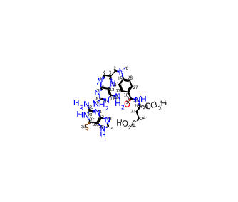 CN(Cc1cnc2nc(N)nc(N)c2n1)c1ccc(C(=O)N[C@@H](CCC(=O)O)C(=O)O)cc1.Nc1nc2nc[nH]c2c(=S)[nH]1